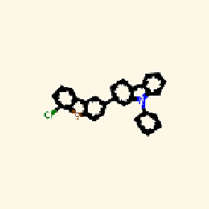 Clc1cccc2c1sc1ccc(-c3ccc4c5ccccc5n(-c5ccccc5)c4c3)cc12